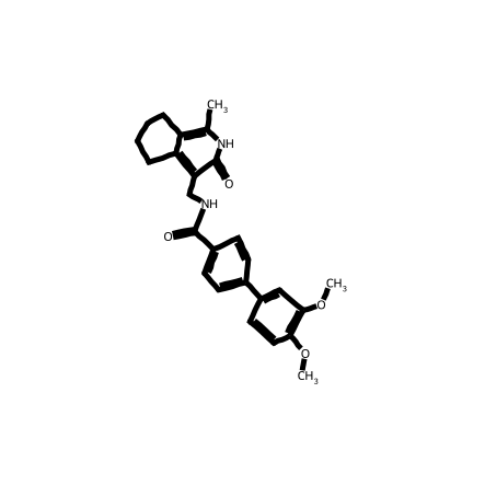 COc1ccc(-c2ccc(C(=O)NCc3c4c(c(C)[nH]c3=O)CCCC4)cc2)cc1OC